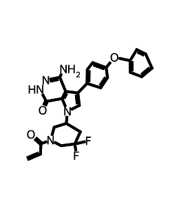 C=CC(=O)N1CC(n2cc(-c3ccc(Oc4ccccc4)cc3)c3c(N)n[nH]c(=O)c32)CC(F)(F)C1